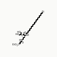 CCC=CCC=CCC=CCC=CCC=CCC=CCCC(=O)N[C@@H](CCCNC(=O)C=CC(=O)OCC)C(=O)OC(CO)CO